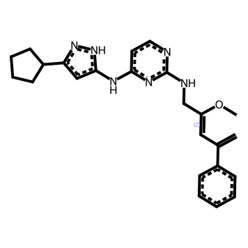 C=C(/C=C(/CNc1nccc(Nc2cc(C3CCCC3)n[nH]2)n1)OC)c1ccccc1